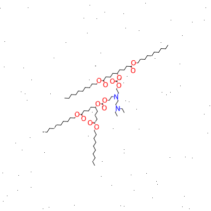 CCCCCCCCCCOC(=O)CCCC(CCCC(=O)OCCCCCCCCCC)OC(=O)OCCN(CCOC(=O)OC(CCCC(=O)OCCCCCCCCCC)CCCC(=O)OCCCCCCCCCC)CCN(CC)CC